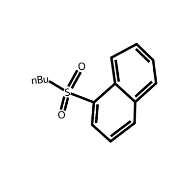 CCCCS(=O)(=O)c1cccc2ccccc12